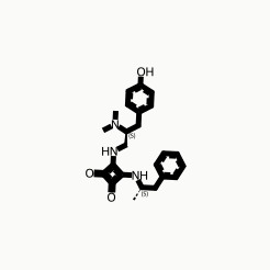 C[C@@H](Cc1ccccc1)Nc1c(NC[C@H](Cc2ccc(O)cc2)N(C)C)c(=O)c1=O